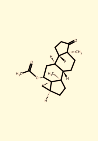 CC(=O)O[C@@H]1C[C@@H]2[C@H](CC[C@]3(C)C(=O)CC[C@@]23F)[C@@]2(C)CC[C@H]3C[C@]312